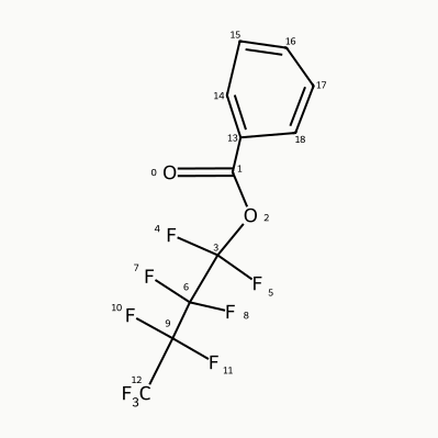 O=C(OC(F)(F)C(F)(F)C(F)(F)C(F)(F)F)c1ccccc1